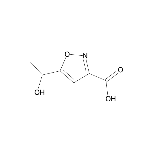 CC(O)c1cc(C(=O)O)no1